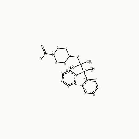 CC(C)(CC1CCN(C(=O)Cl)CC1)[Si](O)(c1ccccc1)c1ccccc1